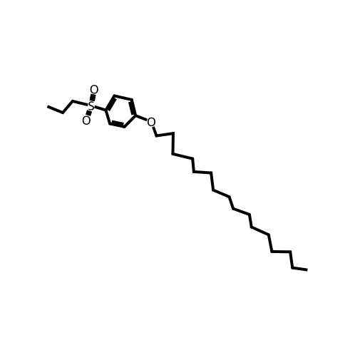 CCCCCCCCCCCCCCCCOc1ccc(S(=O)(=O)CCC)cc1